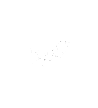 CC(C)(CN1CC2CNCC(C1)O2)C(=O)[CH2][Pd]